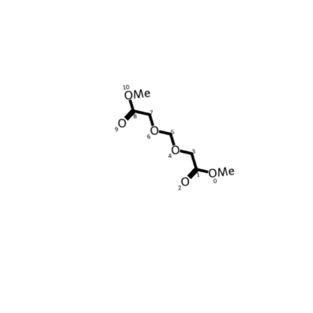 COC(=O)COCOCC(=O)OC